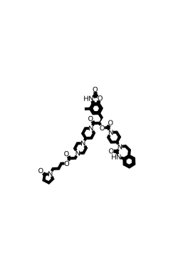 Cc1cc(C[C@@H](OC(=O)N2CCC(N3CCc4ccccc4NC3=O)CC2)C(=O)N2CCC(N3CCN(CC(=O)OCCCN4CCCC4=O)CC3)CC2)cc2oc(=O)[nH]c12